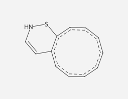 C1=Cc2ccccccccc2SN1